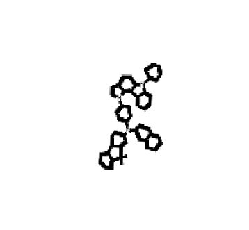 CC1(C)c2ccccc2-c2ccc(N(c3ccc(-n4ccc5ccc6c(c7ccccc7n6-c6ccccc6)c54)cc3)c3ccc4ccccc4c3)cc21